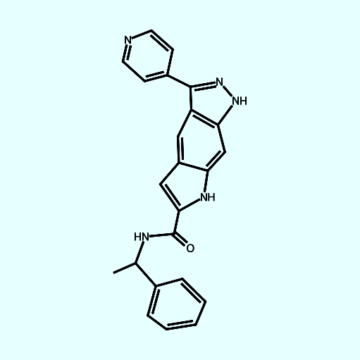 CC(NC(=O)c1cc2cc3c(-c4ccncc4)n[nH]c3cc2[nH]1)c1ccccc1